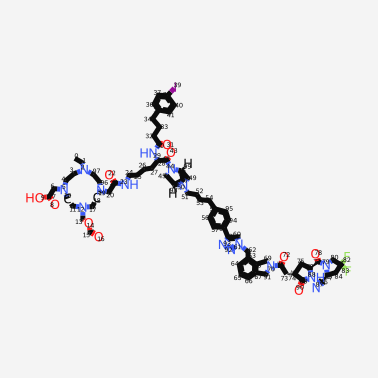 CCN1CCN(CC(=O)O)CCN(COC=O)CCN(CC(=O)NCCCCC(NC(=O)CCCc2ccc(I)cc2)C(=O)N2C[C@@H]3C[C@H]2CN3CCCCc2ccc(-c3cn(Cc4cccc5c4CN(C(=O)C[C@@H]4C[C@@H](C(=O)N6CC(F)(F)C[C@H]6C#N)NC4=O)C5)nn3)cc2)CC1